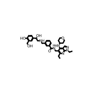 CCc1nc2c(cnn2CC)c(NC2CCOCC2)c1CNC(=O)c1cccc(CNC[C@H](O)c2ccc(O)c(CO)c2)c1